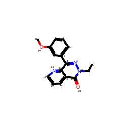 CCn1nc(-c2cccc(OC)c2)c2ncccc2c1=O